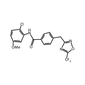 COc1ccc(Cl)c(NC(=O)c2ccc(Cc3noc(C(F)(F)F)n3)cc2)c1